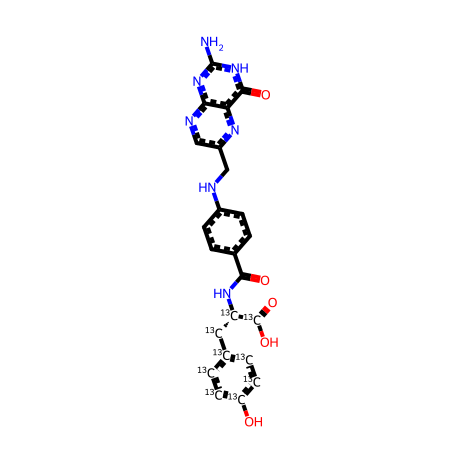 Nc1nc2ncc(CNc3ccc(C(=O)N[13C@@H]([13CH2][13c]4[13cH][13cH][13c](O)[13cH][13cH]4)[13C](=O)O)cc3)nc2c(=O)[nH]1